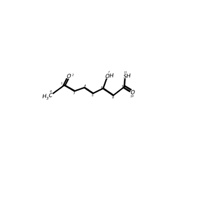 CC(=O)CCCC(O)CC(=O)S